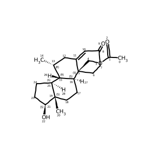 CC(=O)OC[C@]12CCC(=O)C=C1C[C@@H](C)[C@@H]1[C@@H]2CC[C@]2(C)[C@@H](O)CC[C@@H]12